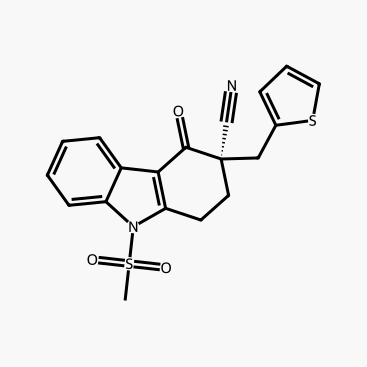 CS(=O)(=O)n1c2c(c3ccccc31)C(=O)[C@@](C#N)(Cc1cccs1)CC2